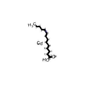 CCCC/C=C\CCCCCCCC(=O)O.[Gd]